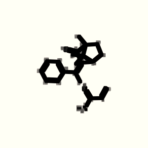 C=CC(N)=O.CC(=C1C(=O)C2(C)CCC1C2(C)C)c1ccccc1